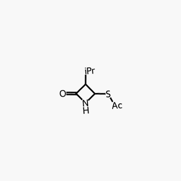 CC(=O)SC1NC(=O)C1C(C)C